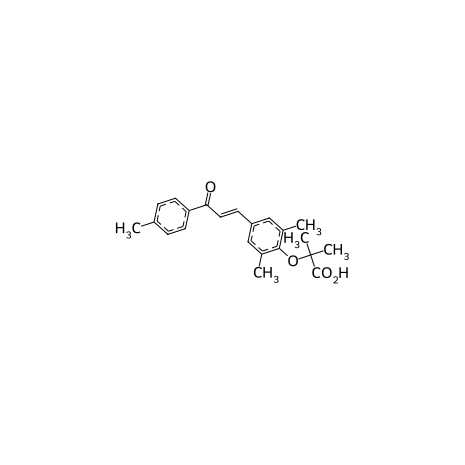 Cc1ccc(C(=O)/C=C/c2cc(C)c(OC(C)(C)C(=O)O)c(C)c2)cc1